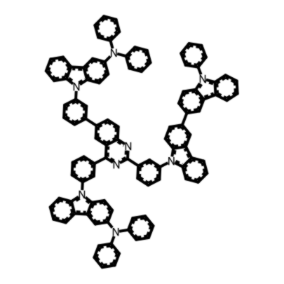 c1ccc(N(c2ccccc2)c2ccc3c(c2)c2ccccc2n3-c2cccc(-c3ccc4nc(-c5cccc(-n6c7ccccc7c7cc(-c8ccc9c(c8)c8ccccc8n9-c8ccccc8)ccc76)c5)nc(-c5cccc(-n6c7ccccc7c7cc(N(c8ccccc8)c8ccccc8)ccc76)c5)c4c3)c2)cc1